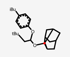 CCC(C)c1ccc(OC(CC(C)(C)C)OC2C3CC4CC(C3)CC2C4)cc1